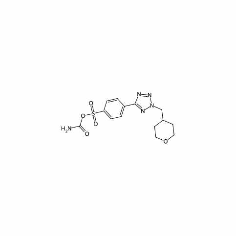 NC(=O)OS(=O)(=O)c1ccc(-c2nnn(CC3CCOCC3)n2)cc1